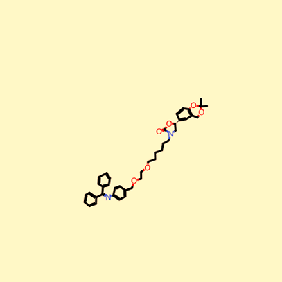 CC1(C)OCc2cc([C@@H]3CN(CCCCCCOCCOCc4ccc(N=C(c5ccccc5)c5ccccc5)cc4)C(=O)O3)ccc2O1